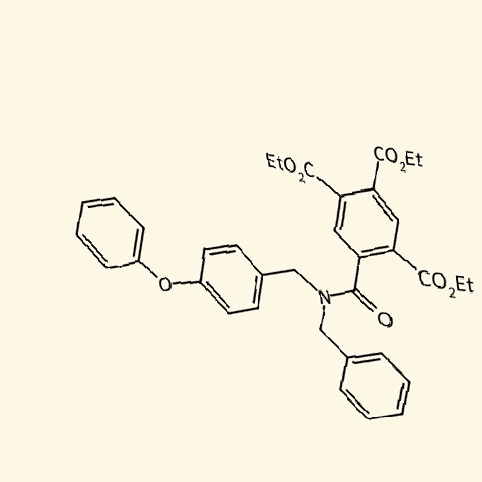 CCOC(=O)c1cc(C(=O)OCC)c(C(=O)N(Cc2ccccc2)Cc2ccc(Oc3ccccc3)cc2)cc1C(=O)OCC